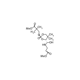 COC(=O)CCNC(O)[C@@H]1O[P@@](=O)(OCC(C)(C)C(=O)OC)OCC1(C)C